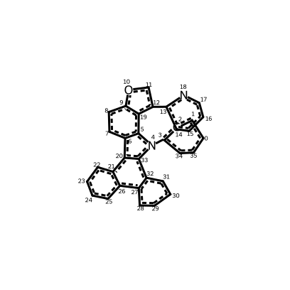 c1ccc(-n2c3c(ccc4occ(-c5ccccn5)c43)c3c4ccccc4c4ccccc4c32)cc1